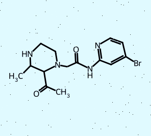 CC(=O)C1C(C)NCCN1CC(=O)Nc1cc(Br)ccn1